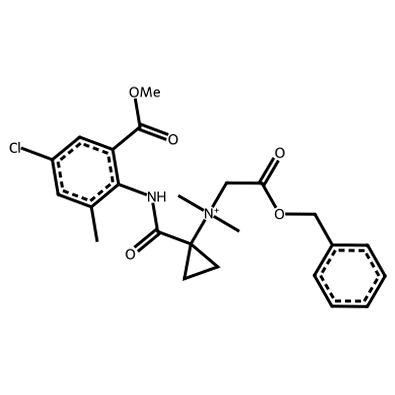 COC(=O)c1cc(Cl)cc(C)c1NC(=O)C1([N+](C)(C)CC(=O)OCc2ccccc2)CC1